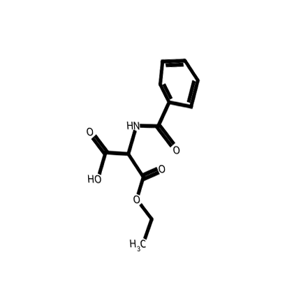 CCOC(=O)C(NC(=O)c1ccccc1)C(=O)O